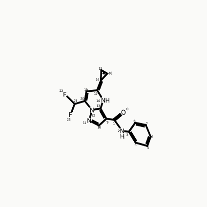 O=C(Nc1ccccc1)c1cnn2c1NC(=C1C=C1)C=C2C(F)F